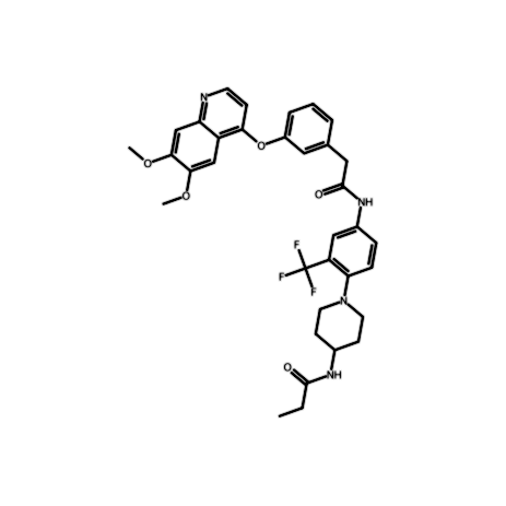 CCC(=O)NC1CCN(c2ccc(NC(=O)Cc3cccc(Oc4ccnc5cc(OC)c(OC)cc45)c3)cc2C(F)(F)F)CC1